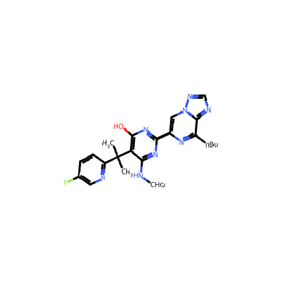 CCCCc1nc(-c2nc(O)c(C(C)(C)c3ccc(F)cn3)c(NC=O)n2)cn2ncnc12